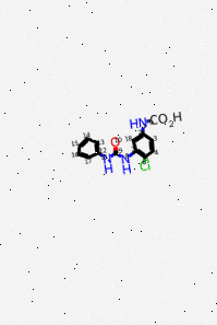 O=C(O)Nc1ccc(Cl)c(NC(=O)Nc2ccccc2)c1